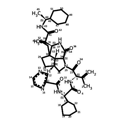 C=C(C)[C@H](NC(=O)[C@@H](NC(=O)c1cnccn1)C1CCCCC1)C(=O)N1C[C@@H]2CCC3(CC)[C@@H]2[C@H]1C(=O)N[C@@H]3C(=O)C(=O)N[C@@H](C)C1CCCCC1